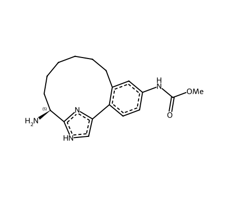 COC(=O)Nc1ccc2c(c1)CCCCCC[C@H](N)c1nc-2c[nH]1